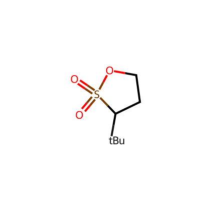 CC(C)(C)C1CCOS1(=O)=O